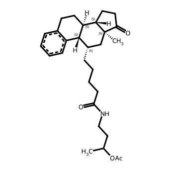 CC(=O)OC(C)CCNC(=O)CCCC[C@H]1C[C@]2(C)C(=O)CC[C@H]2[C@@H]2CCc3ccccc3[C@@H]12